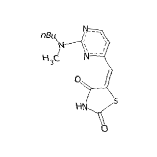 CCCCN(C)c1nccc(C=C2SC(=O)NC2=O)n1